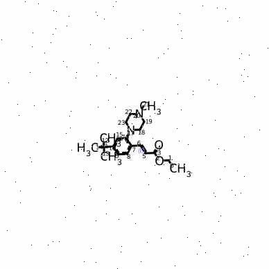 CCOC(=O)/C=C/c1ccc(C(C)(C)C)cc1N1CCN(C)CC1